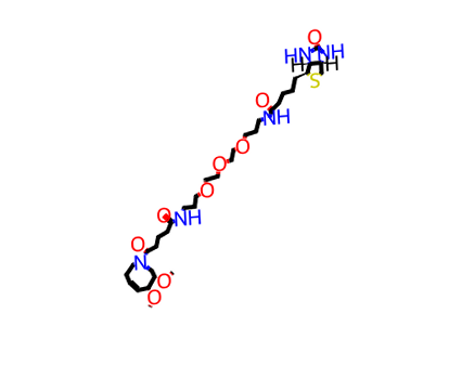 CO[C@H]1/C=C\CCN(C(=O)CCCC(=O)NCCCOCCOCCOCCCNC(=O)CCCC[C@@H]2SC[C@@H]3NC(=O)N[C@@H]32)C[C@@H]1OC